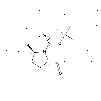 C[C@@H]1CC[C@@H](C=O)N1C(=O)OC(C)(C)C